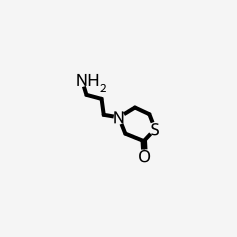 NCCCN1CCSC(=O)C1